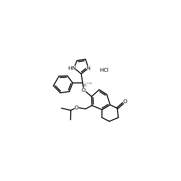 CC(C)OCc1c(O[C@@](C)(c2ccccc2)c2ncc[nH]2)ccc2c1CCCC2=O.Cl